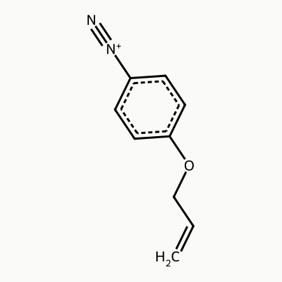 C=CCOc1ccc([N+]#N)cc1